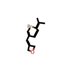 C/C=C(C=C1COC1)\C=C/C(Br)=C(C)C